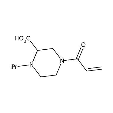 C=CC(=O)N1CCN(C(C)C)C(C(=O)O)C1